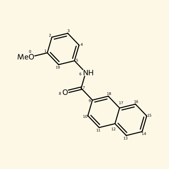 COc1cccc(NC(=O)c2ccc3ccccc3c2)c1